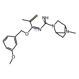 C=C(C)/C(=N\C(=N)N1CC2CC1CN2C)OCc1cccc(OC)c1